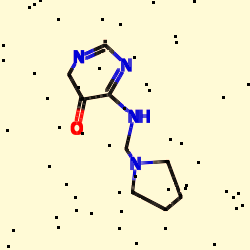 O=C1CN=[C]N=C1NCN1CCCC1